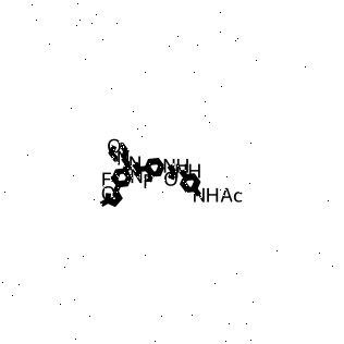 CC(=O)Nc1ccc(NC(=O)Nc2ccc(-c3nc(N4CCOCC4)c4cc(F)c(-c5ccc(C)o5)cc4n3)c(F)c2)cc1